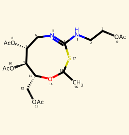 CC(=O)OCCN/C1=N/C[C@@H](OC(C)=O)[C@H](OC(C)=O)[C@@H](COC(C)=O)OC(C)S1